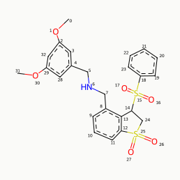 COc1cc(CNCc2cccc3c2C(S(=O)(=O)c2ccccc2)CS3(=O)=O)cc(OC)c1